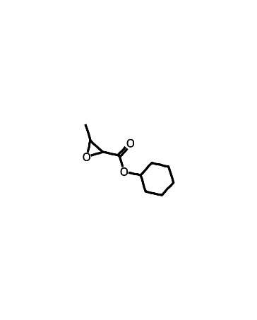 CC1OC1C(=O)OC1CCCCC1